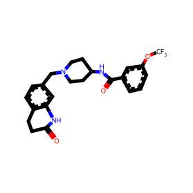 O=C1CCc2ccc(CN3CCC(NC(=O)c4cccc(OC(F)(F)F)c4)CC3)cc2N1